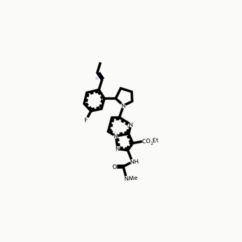 C/C=C/c1ccc(F)cc1C1CCCN1c1ccn2nc(NC(=O)NC)c(C(=O)OCC)c2n1